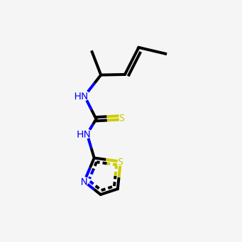 C/C=C/C(C)NC(=S)Nc1nccs1